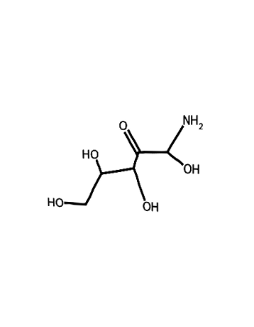 NC(O)C(=O)C(O)C(O)CO